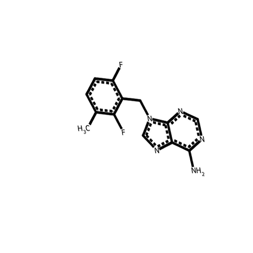 Cc1ccc(F)c(Cn2cnc3c(N)ncnc32)c1F